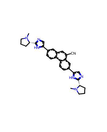 CN1CCC[C@H]1c1ncc(-c2ccc3c(c2)cc(C#N)c2cc(-c4cnc([C@@H]5CCCN5C)[nH]4)ccc23)[nH]1